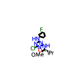 COC(=O)[C@@H](CC(C)C)Nc1nc(Cl)nc(Nc2cccc(F)c2)n1